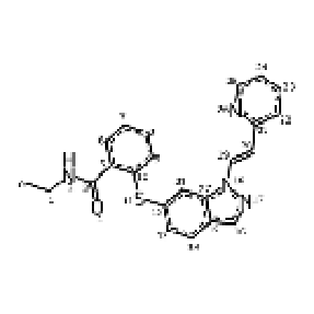 CCNC(=O)c1ccccc1Sc1ccc2cnn(C=Cc3ccccn3)c2c1